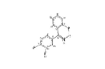 Fc1ccc(C2=NCCc3ccccc32)cc1F